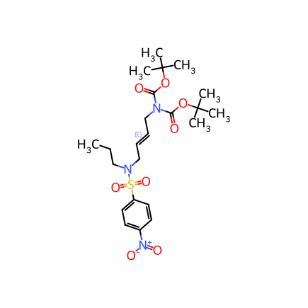 CCCN(C/C=C/CN(C(=O)OC(C)(C)C)C(=O)OC(C)(C)C)S(=O)(=O)c1ccc([N+](=O)[O-])cc1